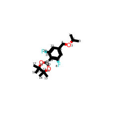 CC(C)OCc1cc(F)c(B2OC(C)(C)C(C)(C)O2)c(F)c1